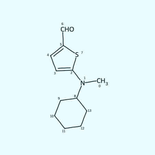 CN(c1ccc(C=O)s1)C1CCCCC1